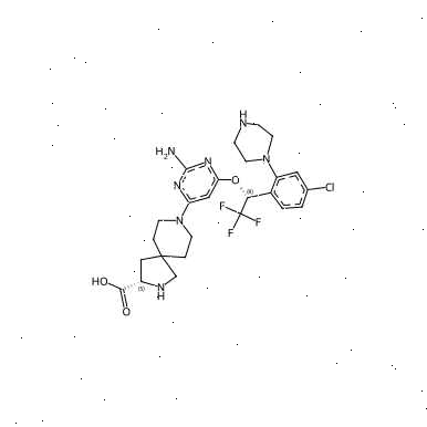 Nc1nc(O[C@H](c2ccc(Cl)cc2N2CCNCC2)C(F)(F)F)cc(N2CCC3(CC2)CN[C@H](C(=O)O)C3)n1